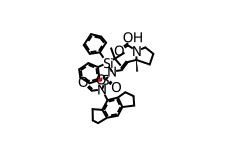 CC(C)(C)[Si](c1ccccc1)(c1ccccc1)N(/C=C/[C@@]1(C)CCCN1C(=O)O)S(=O)(=O)N(C=O)c1c2c(cc3c1CCC3)CCC2